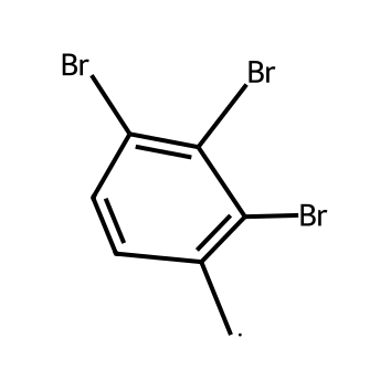 [CH2]c1ccc(Br)c(Br)c1Br